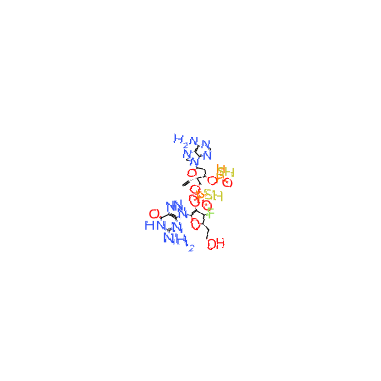 C#C[C@]1(COP(=O)(S)O[C@@H]2[C@@H](F)[C@@H](CCO)O[C@H]2n2nnc3c(=O)[nH]c(N)nc32)O[C@@H](n2cnc3c(N)ncnc32)C[C@@H]1O[PH](=O)S